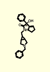 O=C(NCC1C2CN(Cc3ccccc3)CC12)[C@@](O)(C1=CCCC1)c1ccccc1